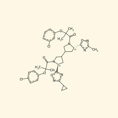 Cc1noc([C@@H]2CC(C3C[C@@H](c4nc(C5CC5)no4)N(C(=O)C(C)(C)Oc4ccc(Cl)cc4)C3)CN2C(=O)C(C)(C)Oc2cccc(Cl)c2)n1